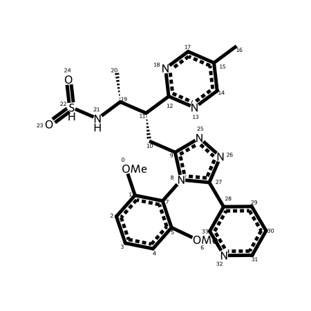 COc1cccc(OC)c1-n1c(C[C@@H](c2ncc(C)cn2)[C@@H](C)N[SH](=O)=O)nnc1-c1cccnc1